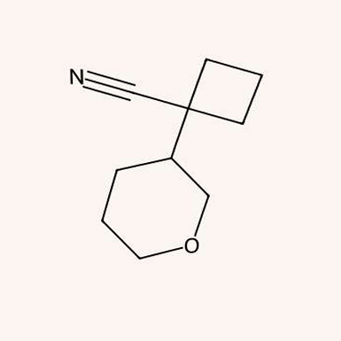 N#CC1(C2CCCOC2)CCC1